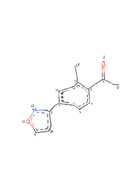 CC(=O)c1ccc(-c2ccon2)cc1C